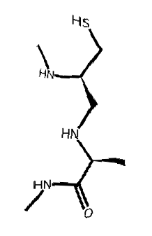 CNC(=O)[C@H](C)NC[C@H](CS)NC